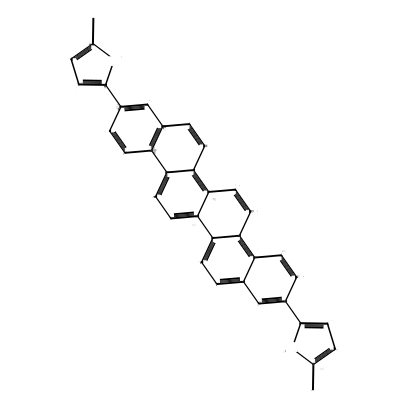 Cc1ccc(-c2ccc3c(ccc4c3ccc3c5ccc6cc(-c7ccc(C)s7)ccc6c5ccc43)c2)s1